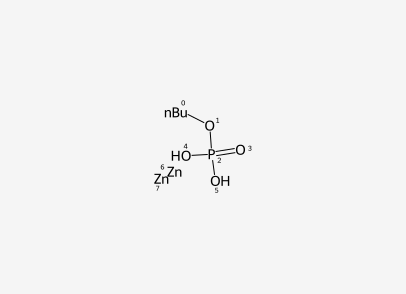 CCCCOP(=O)(O)O.[Zn].[Zn]